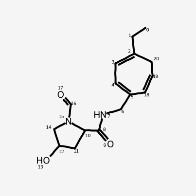 CCC1=CC=C(CNC(=O)C2CC(O)CN2C=O)C=CC1